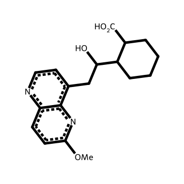 COc1ccc2nccc(CC(O)C3CCCCC3C(=O)O)c2n1